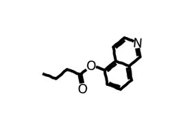 CCCC(=O)Oc1cccc2cnccc12